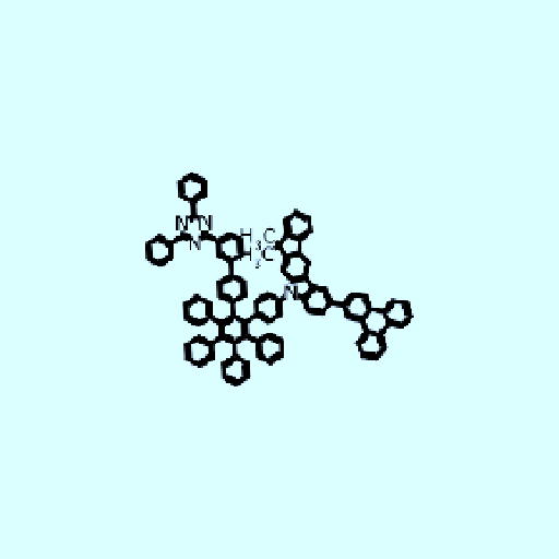 CC1(C)C2=Cc3c(c4cc(-c5ccc6c7ccccc7c7ccccc7c6c5)ccc4n3-c3ccc(-c4c(-c5ccccc5)c(-c5ccccc5)c(-c5ccccc5)c(-c5ccccc5)c4-c4ccc(-c5cccc(-c6nc(-c7ccccc7)nc(-c7ccccc7)n6)c5)cc4)cc3)CC2c2ccccc21